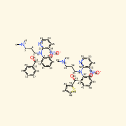 CN(C)CCCN(c1ccccc1C(=O)c1ccccc1)c1ncccc1[N+](=O)[O-].CN(C)CCCN(c1ccccc1C(=O)c1cccs1)c1ncccc1[N+](=O)[O-]